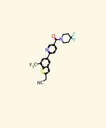 N#CCc1cc2cc(-c3ccc(C(=O)N4CCC(F)(F)CC4)cn3)cc(C(F)(F)F)c2s1